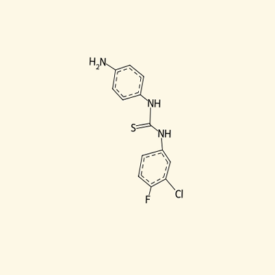 Nc1ccc(NC(=S)Nc2ccc(F)c(Cl)c2)cc1